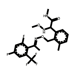 CNC(=O)C(NOC)c1cccc(C)c1CO/N=C(\C)c1c(F)cc(F)cc1C(F)(F)F